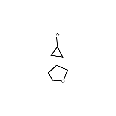 C1CCOC1.[Zn][CH]1CC1